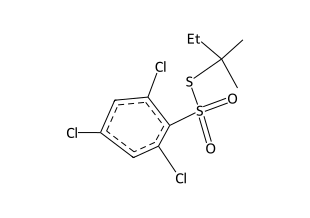 CCC(C)(C)SS(=O)(=O)c1c(Cl)cc(Cl)cc1Cl